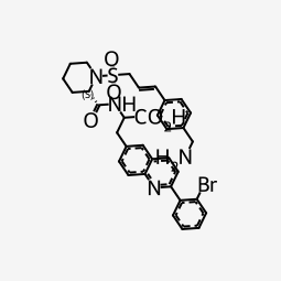 NCc1ccc(C=CCS(=O)(=O)N2CCCC[C@H]2C(=O)NC(Cc2ccc3nc(-c4ccccc4Br)ccc3c2)C(=O)O)cc1